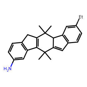 CCc1ccc2c(c1)C1C(=C2)C(C)(C)C2=C(Cc3ccc(N)cc32)C1(C)C